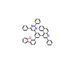 c1ccc(-c2cc(-c3cc(-c4cccc5c4oc4ccccc45)cc(-c4cc(-c5ccccc5)nc5ccc6ccccc6c45)c3)nc(-c3ccccc3)n2)cc1